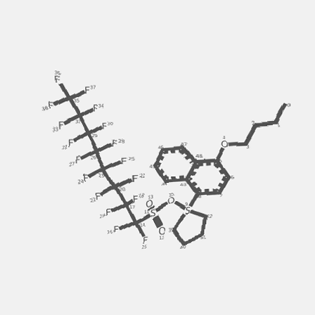 CCCCOc1ccc(S2(OS(=O)(=O)C(F)(F)C(F)(F)C(F)(F)C(F)(F)C(F)(F)C(F)(F)C(F)(F)C(F)(F)F)CCCC2)c2ccccc12